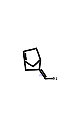 CC/C=C1/CC2=CCC1C2